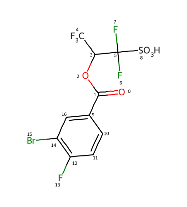 O=C(OC(C(F)(F)F)C(F)(F)S(=O)(=O)O)c1ccc(F)c(Br)c1